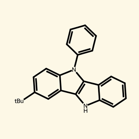 CC(C)(C)c1ccc2c(c1)c1[nH]c3ccccc3c1n2-c1ccccc1